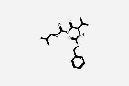 CC(C)COC(=O)OC(=O)[C@H](NC(=O)OCc1ccccc1)C(C)C